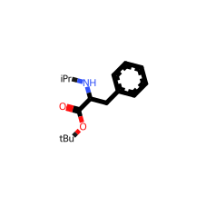 CC(C)NC(Cc1ccccc1)C(=O)OC(C)(C)C